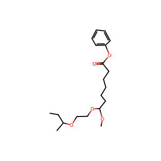 CCC(C)OCCOC(CCCCCC(=O)Oc1ccccc1)OC